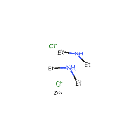 CCNCC.CCNCC.[Cl-].[Cl-].[Zr+2]